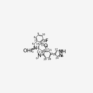 CN(CC1(N(C=O)Cc2cccc(F)c2)CCOCC1)c1ccc(-c2cn[nH]c2)cc1